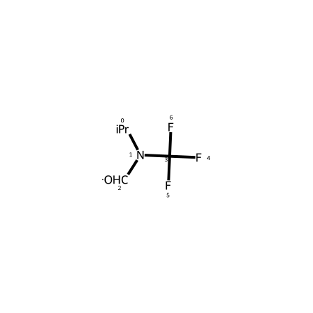 CC(C)N([C]=O)C(F)(F)F